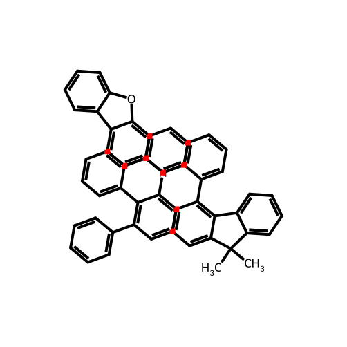 CC1(C)c2ccccc2-c2c(-c3ccccc3N(c3ccc4c(c3)oc3ccccc34)c3cccc(-c4ccccc4)c3-c3ccccc3-c3ccccc3)cccc21